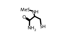 CSNC(CS)C(N)=O